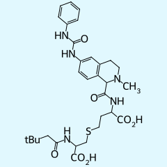 CN1CCc2cc(NC(=O)Nc3ccccc3)ccc2C1C(=O)NC(CCSCC(NC(=O)CC(C)(C)C)C(=O)O)C(=O)O